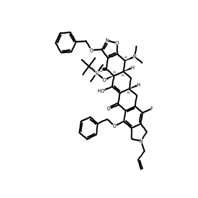 C=CCN1Cc2c(F)c3c(c(OCc4ccccc4)c2C1)C(=O)C1=C(O)[C@]2(O[Si](C)(C)C(C)(C)C)C(=O)c4c(OCc5ccccc5)noc4[C@@H](N(C)C)[C@@H]2C[C@@H]1C3